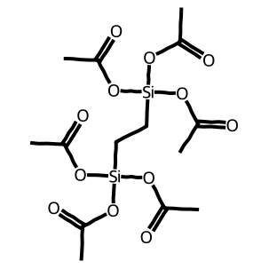 CC(=O)O[Si](CC[Si](OC(C)=O)(OC(C)=O)OC(C)=O)(OC(C)=O)OC(C)=O